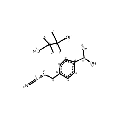 CC(C)(O)C(C)(C)O.[N-]=[N+]=NCc1ccc(B(O)O)cc1